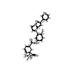 N#CC1(S(F)(F)(F)(F)F)C=CC=C(C(=O)Nc2ccc(F)c(-n3ccn4nc(-c5cccnc5)cc34)c2)C1